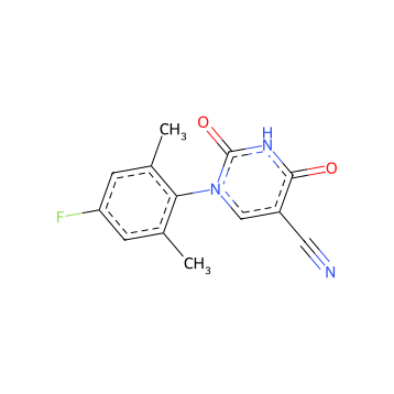 Cc1cc(F)cc(C)c1-n1cc(C#N)c(=O)[nH]c1=O